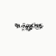 Cc1c(C(=O)NCCN2CCOCC2)sc2ncnc(Nc3ccc(NC(=O)c4ccccc4)cc3)c12